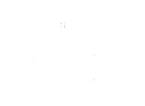 CCOC(=O)COc1ccc(N2C(=O)CSC2c2ccc(F)cc2)c(C)c1